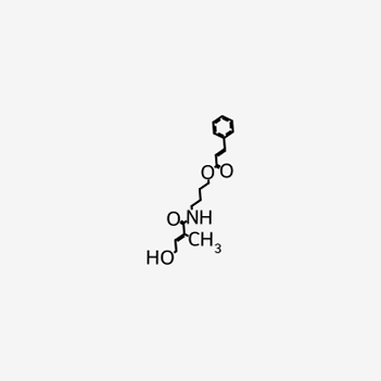 C/C(=C\CO)C(=O)NCCCCOC(=O)C=Cc1ccccc1